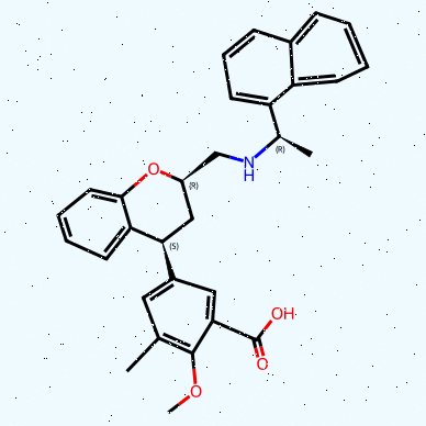 COc1c(C)cc([C@@H]2C[C@H](CN[C@H](C)c3cccc4ccccc34)Oc3ccccc32)cc1C(=O)O